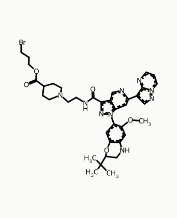 COc1cc2c(cc1-n1nc(C(=O)NCCN3CCC(C(=O)OCCCBr)CC3)c3cnc(-c4cnn5cccnc45)cc31)OC(C(C)(C)C)CN2